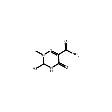 CN1N=C(C(N)=O)C(=O)NC1S